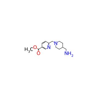 COC(=O)c1ccc(CN2CCC(CN)CC2)nc1